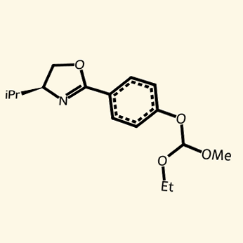 CCOC(OC)Oc1ccc(C2=N[C@@H](C(C)C)CO2)cc1